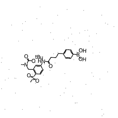 CN(Cc1cc(NC(=O)CCCc2ccc(B(O)O)cc2)ccc1S(C)(=O)=O)C(=O)OC(C)(C)C